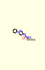 CCCCCCNC(=O)N=c1ccn(-c2ccccc2)nc1